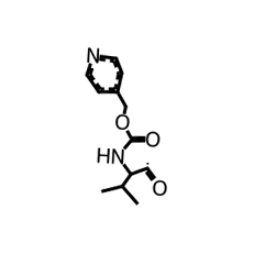 CC(C)C([C]=O)NC(=O)OCc1ccncc1